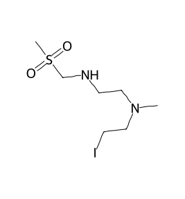 CN(CCI)CCNCS(C)(=O)=O